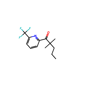 CCCC(C)(C)C(=O)c1cccc(C(F)(F)F)n1